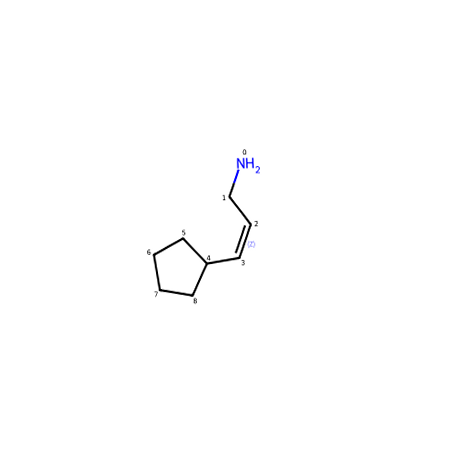 NC/C=C\C1CCCC1